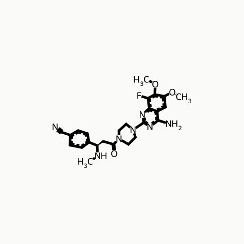 CN[C@H](CC(=O)N1CCN(c2nc(N)c3cc(OC)c(OC)c(F)c3n2)CC1)c1ccc(C#N)cc1